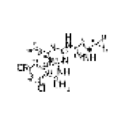 CC(Nc1nc(Nc2cc(C3CC3)[nH]n2)nc(C2CC2)n1)c1ccc(Cl)cc1Cl